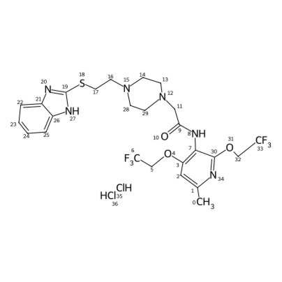 Cc1cc(OCC(F)(F)F)c(NC(=O)CN2CCN(CCSc3nc4ccccc4[nH]3)CC2)c(OCC(F)(F)F)n1.Cl.Cl